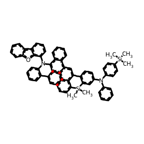 C[Si](C)(C)c1ccc(N(c2ccccc2)c2ccc3c(c2)[Si](C)(C)c2cccc4c2c-3cc2c3ccccc3c(N(c3ccccc3-c3ccccc3)c3cccc5c3oc3ccccc35)cc42)cc1